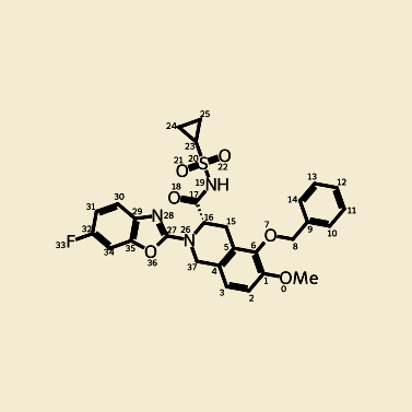 COc1ccc2c(c1OCc1ccccc1)C[C@@H](C(=O)NS(=O)(=O)C1CC1)N(c1nc3ccc(F)cc3o1)C2